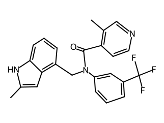 Cc1cc2c(CN(C(=O)c3ccncc3C)c3cccc(C(F)(F)F)c3)cccc2[nH]1